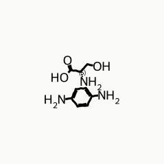 N[C@@H](CO)C(=O)O.Nc1ccc(N)cc1